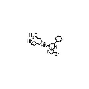 C=CCC(/C=C1/C=CNC1)CNc1cc(-c2ccccc2)nc2c(Br)cnn12